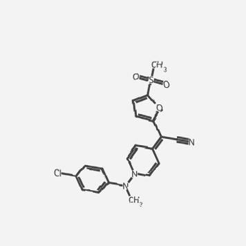 CN(c1ccc(Cl)cc1)N1C=CC(=C(C#N)c2ccc(S(C)(=O)=O)o2)C=C1